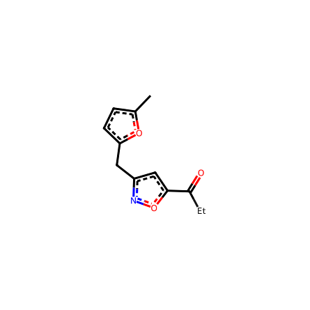 CCC(=O)c1cc(Cc2ccc(C)o2)no1